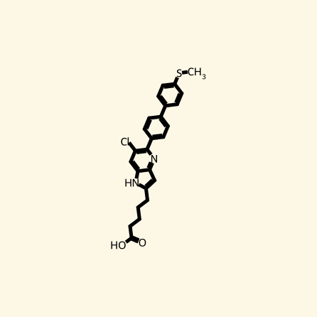 CSc1ccc(-c2ccc(-c3nc4cc(CCCCC(=O)O)[nH]c4cc3Cl)cc2)cc1